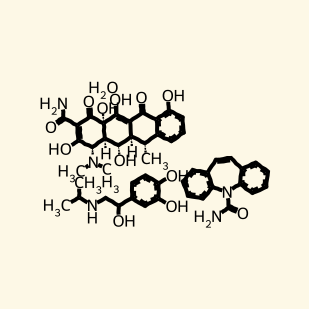 CC(C)NCC(O)c1ccc(O)c(O)c1.C[C@H]1c2cccc(O)c2C(=O)C2=C(O)[C@]3(O)C(=O)C(C(N)=O)=C(O)[C@@H](N(C)C)[C@@H]3[C@@H](O)[C@@H]21.NC(=O)N1c2ccccc2C=Cc2ccccc21.O